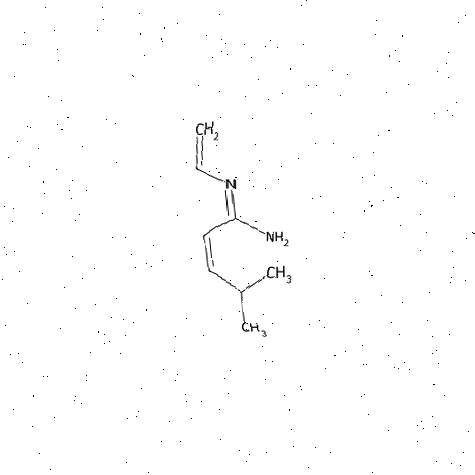 C=C/N=C(N)\C=C/C(C)C